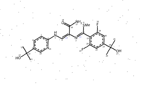 CS/C(=N\C(=C\Nc1ccc(C(C)(C)O)cn1)C(N)=O)c1c(F)cc(C(C)(C)O)cc1F